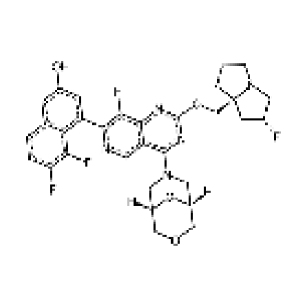 Oc1cc(-c2ncc3c(N4C[C@H]5COC[C@@H](C4)O5)nc(OC[C@@]45CCCN4C[C@H](F)C5)nc3c2F)c2c(F)c(F)ccc2c1